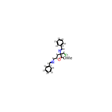 COC(=O)C(CF)(CCCN=Cc1ccccc1)N=Cc1ccccc1